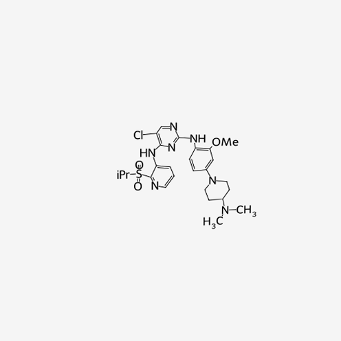 COc1cc(N2CCC(N(C)C)CC2)ccc1Nc1ncc(Cl)c(Nc2cccnc2S(=O)(=O)C(C)C)n1